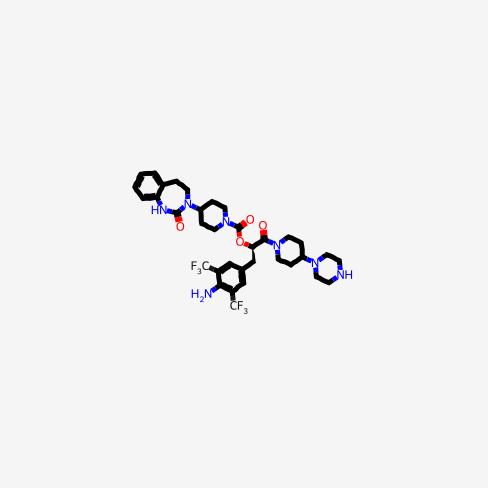 Nc1c(C(F)(F)F)cc(C[C@@H](OC(=O)N2CCC(N3CCc4ccccc4NC3=O)CC2)C(=O)N2CCC(N3CCNCC3)CC2)cc1C(F)(F)F